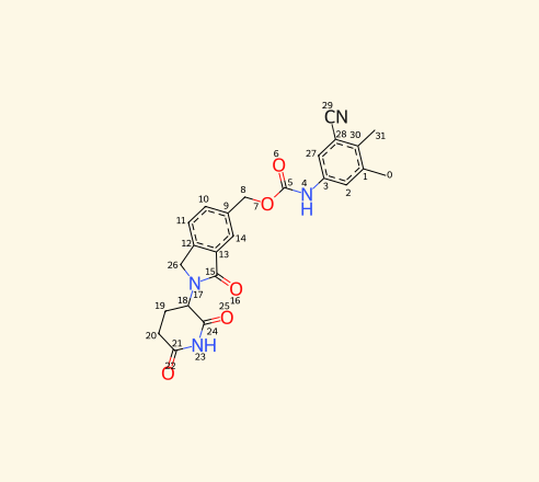 Cc1cc(NC(=O)OCc2ccc3c(c2)C(=O)N(C2CCC(=O)NC2=O)C3)cc(C#N)c1C